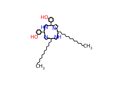 CCCCCCCCCCCCCc1c2nc(c(-c3cccc(O)c3)c3ccc([nH]3)c(-c3cccc(O)c3)c3nc(c(CCCCCCCCCCCCC)c4ccc1[nH]4)C=C3)C=C2